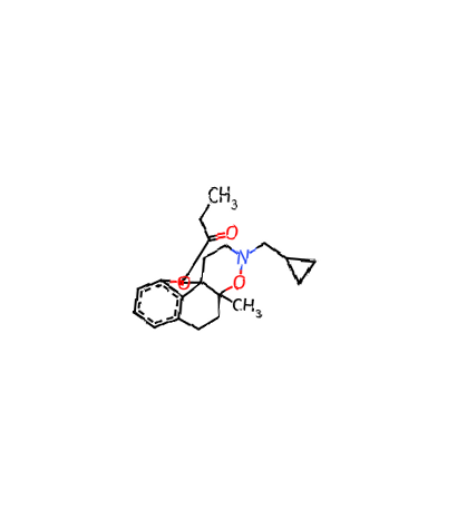 CCC(=O)C1Oc2cccc3c2C12CCN(CC1CC1)OC2(C)CC3